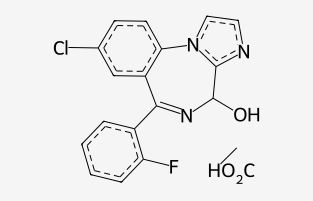 CC(=O)O.OC1N=C(c2ccccc2F)c2cc(Cl)ccc2-n2ccnc21